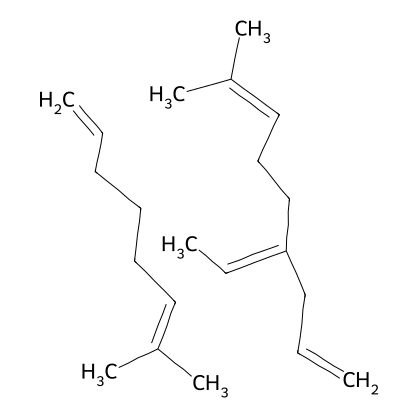 C=CCC(=CC)CCC=C(C)C.C=CCCCC=C(C)C